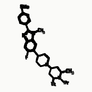 CCC1CC(N2CCC(c3cc4c(cc3F)nc(-c3ccc(SC)cc3)n4C)CC2)CC(C)N1C(C)C